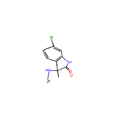 CC(C)NC1(C)C(=O)Nc2cc(Br)ccc21